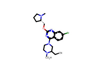 CN1CCC[C@H]1COc1nc(N2CCN(C(=O)O)C(CC#N)C2)c2ccc(Br)cc2n1